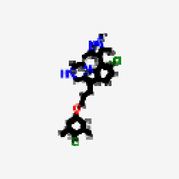 Cc1cc(OCCCc2c3n(c4c(-c5c(C)nn(C)c5C)c(Cl)ccc24)CCNC3)cc(C)c1Cl